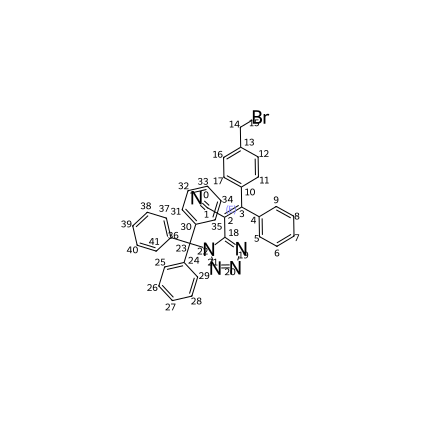 N#C/C(=C(/c1ccccc1)c1ccc(CBr)cc1)c1nnnn1C(c1ccccc1)(c1ccccc1)c1ccccc1